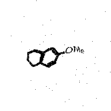 COc1ccc2c(c1)CCCC2